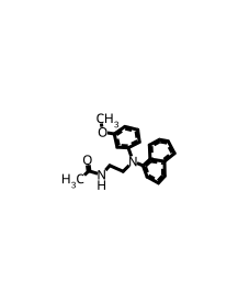 COc1cccc(N(CCNC(C)=O)c2cccc3ccccc23)c1